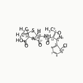 Cc1onc(-c2ccccc2Cl)c1C(=O)NC1C(=O)N2C(C(=O)O)C(C)(C)S[C@H]12